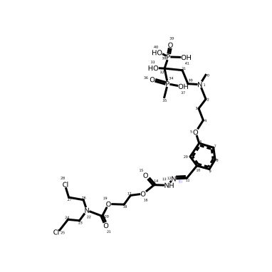 CN(CCCOc1cccc(/C=N/NC(=O)OCCOC(=O)N(CCCl)CCCl)c1)CCC(O)(P(C)(=O)O)P(=O)(O)O